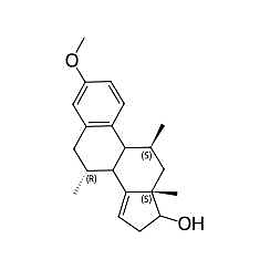 COc1ccc2c(c1)C[C@@H](C)C1C3=CCC(O)[C@@]3(C)C[C@H](C)C21